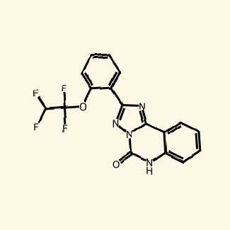 O=c1[nH]c2ccccc2c2nc(-c3ccccc3OC(F)(F)C(F)F)nn12